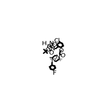 C[C@@H]1CN(Cc2ccc(F)cc2)[C@@H](C)CN1C(=O)COc1ccc(Cl)cc1CN(C(=O)OC(C)(C)C)S(N)(=O)=O